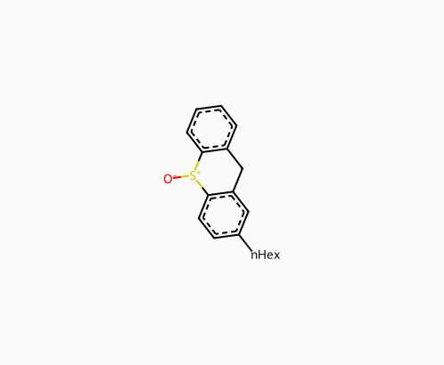 CCCCCCc1ccc2c(c1)Cc1ccccc1[S+]2[O-]